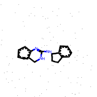 c1ccc2c(c1)CNC(NC1CCc3ccccc31)=N2